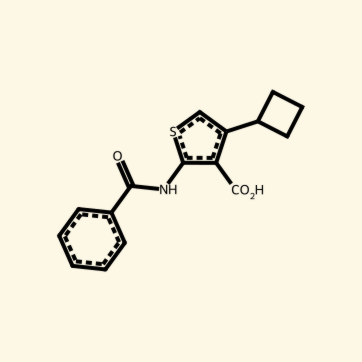 O=C(Nc1scc(C2CCC2)c1C(=O)O)c1ccccc1